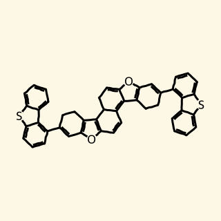 C1=Cc2oc3c(c2C2CC=c4oc5c(c4=C12)CCC(c1cccc2sc4ccccc4c12)=C5)CCC(c1cccc2sc4ccccc4c12)=C3